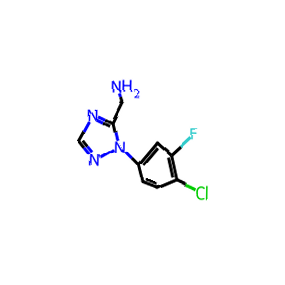 NCc1ncnn1-c1ccc(Cl)c(F)c1